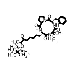 C[C@H](O[Si](C)(C)C(C)(C)C)C(=O)CCCCC[C@@H]1NC(=O)C2CCCN2C(=O)[C@H](Cc2ccccc2)NC(=O)C(C)(C)NC1=O